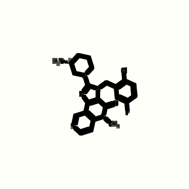 Cn1c(=O)c2c(nc(N3CCC[C@@H](N)C3)n2Cc2cc(F)ccc2Cl)c2cnccc21